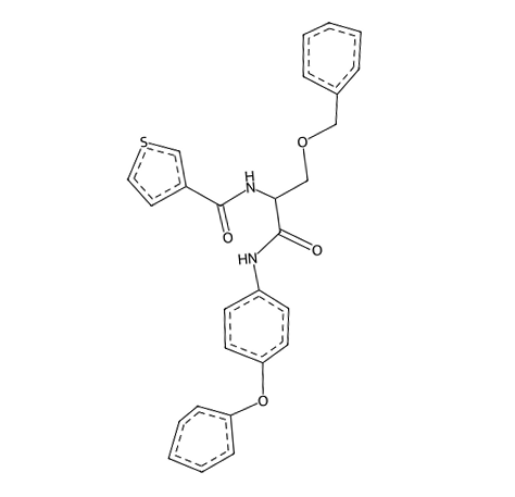 O=C(NC(COCc1ccccc1)C(=O)Nc1ccc(Oc2ccccc2)cc1)c1ccsc1